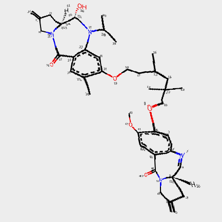 C=C1C[C@H]2C=Nc3cc(OCC(C)(C)CC(C)CCOc4cc5c(cc4C)C(=O)N4CC(=C)C[C@H]4[C@H](O)N5C(C)C)c(OC)cc3C(=O)N2C1